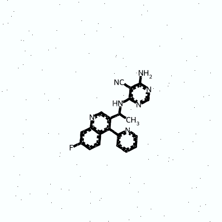 CC(Nc1ncnc(N)c1C#N)c1cnc2cc(F)ccc2c1-c1ccccn1